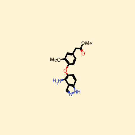 COC(=O)Cc1ccc(Oc2ccc3[nH]ncc3c2N)c(OC)c1